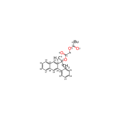 CCC(C)C(=O)OCC(=O)OC(C)(C)c1cc2ccccc2cc1-c1ccccc1